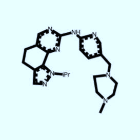 CC(C)n1ncc2c1-c1nc(Nc3ccc(CN4CCN(C)CC4)cn3)ncc1CC2